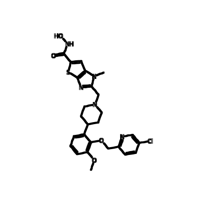 COc1cccc(C2CCN(Cc3nc4sc(C(=O)NO)cc4n3C)CC2)c1OCc1ccc(Cl)cn1